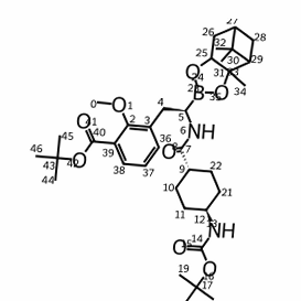 COc1c(C[C@H](NC(=O)[C@H]2CC[C@H](NC(=O)OC(C)(C)C)CC2)B2OC3CC4CC(C4(C)C)C3(C)O2)cccc1C(=O)OC(C)(C)C